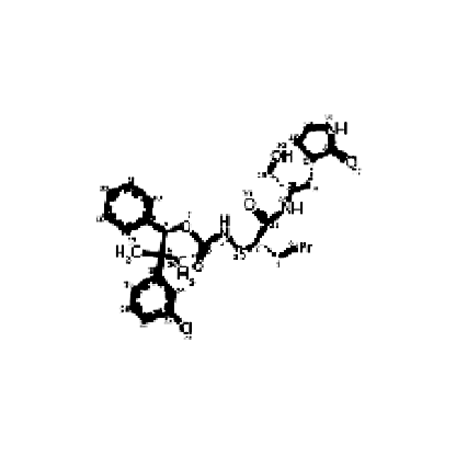 CC(C)C[C@H](SNC(=O)O[C@H](c1ccccc1)C(C)(C)c1cccc(Cl)c1)C(=O)N[C@H](CO)C[C@@H]1CCNC1=O